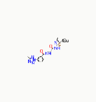 Cc1nnn(-c2cccc(C(=O)NCCC(=O)Nc3nc(C)c(C(C)(C)C)s3)c2)n1